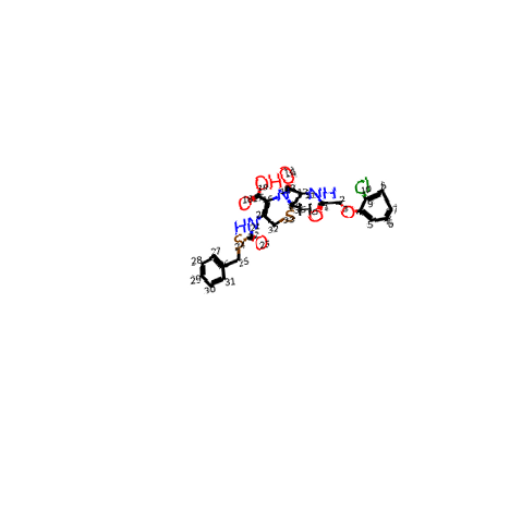 O=C(COc1ccccc1Cl)NC1C(=O)N2C(C(=O)O)=C(NC(=O)SCc3ccccc3)CS[C@@H]12